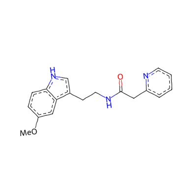 COc1ccc2[nH]cc(CCNC(=O)Cc3ccccn3)c2c1